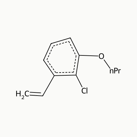 C=Cc1cccc(OCCC)c1Cl